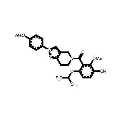 COc1ccc(-n2cc3c(n2)CCN(C(=O)c2c(OC(C)C(F)(F)F)ccc(C#N)c2OC)C3)cc1